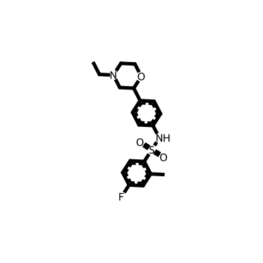 CCN1CCOC(c2ccc(NS(=O)(=O)c3ccc(F)cc3C)cc2)C1